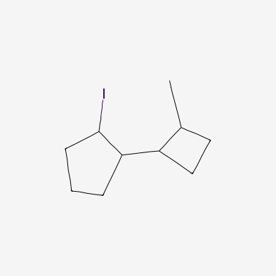 CC1CCC1C1CCCC1I